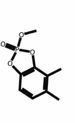 COP1(=O)Oc2ccc(C)c(C)c2O1